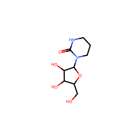 O=C1NCCCN1C1OC(CO)C(O)C1O